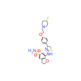 NS(=O)(=O)c1cc2c(c(NC3=NC(c4ccc(OCCN5CCC(F)CC5)cc4)CS3)c1)OCC2